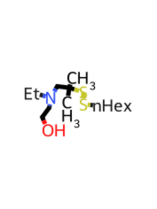 CCCCCCSSC(C)(C)CN(CC)CCO